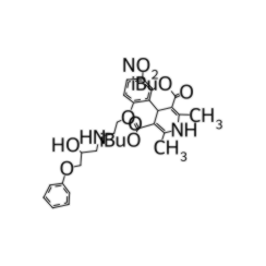 CC1=C(C(=O)OCC(C)C)C(c2cc([N+](=O)[O-])ccc2OCCNCC(O)COc2ccccc2)C(C(=O)OCC(C)C)=C(C)N1